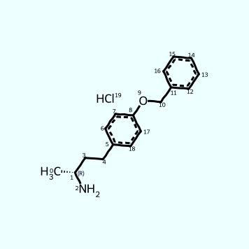 C[C@@H](N)CCc1ccc(OCc2ccccc2)cc1.Cl